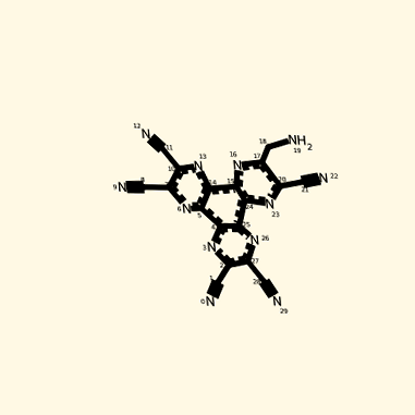 N#Cc1nc2c3nc(C#N)c(C#N)nc3c3nc(CN)c(C#N)nc3c2nc1C#N